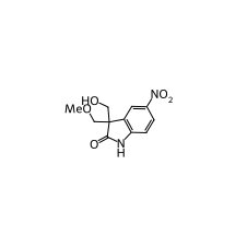 COCC1(CO)C(=O)Nc2ccc([N+](=O)[O-])cc21